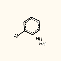 [Al][c]1ccccc1.[HH].[HH]